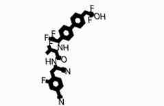 CC(C)[C@H](N[C@@H](c1ccc(-c2ccc(CC(O)(F)F)cc2)cc1)C(F)(F)F)C(=O)NC(C#N)Cc1ccc(C#N)cc1F